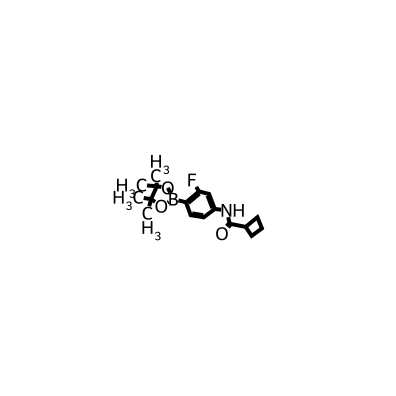 CC1(C)OB(c2ccc(NC(=O)C3CCC3)cc2F)OC1(C)C